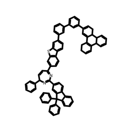 C1=CC2C3=C(CCC=C3)C3=CC(c4cccc(-c5cccc(-c6ccc7c(c6)sc6cc(C8=NC(c9ccc%10c(c9)C(c9ccccc9)(c9ccccc9)c9ccccc9-%10)=NC(c9ccccc9)C=C8)ccc67)c5)c4)=CCC3C2C=C1